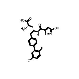 N[C@@H](C[C@@H](Cc1ccc(-c2cc(Cl)ccc2F)cc1)NC(=O)c1cc(O)no1)C(=O)O